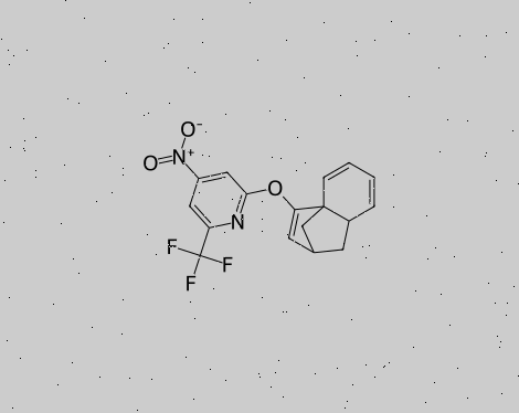 O=[N+]([O-])c1cc(OC2=CC3CC4C=CC=CC24C3)nc(C(F)(F)F)c1